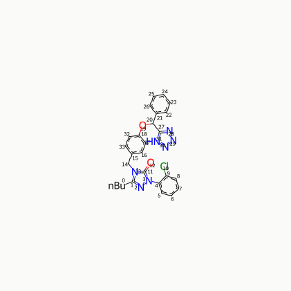 CCCCc1nn(-c2ccccc2Cl)c(=O)n1Cc1ccc(OC(c2ccccc2)c2nnn[nH]2)cc1